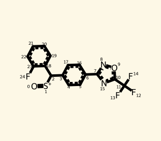 O=[S+]C(c1ccc(-c2noc(C(F)(F)F)n2)cc1)c1ccccc1F